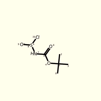 CC(C)(C)OC(=O)N[S+]([O-])Cl